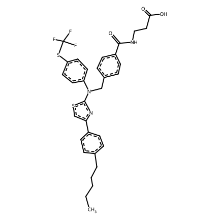 CCCCCc1ccc(-c2csc(N(Cc3ccc(C(=O)NCCC(=O)O)cc3)c3ccc(SC(F)(F)F)cc3)n2)cc1